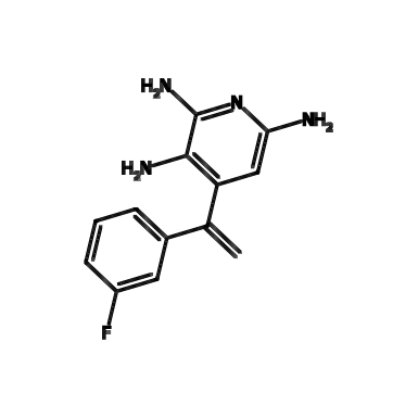 C=C(c1cccc(F)c1)c1cc(N)nc(N)c1N